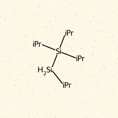 CC(C)[SiH2][Si](C(C)C)(C(C)C)C(C)C